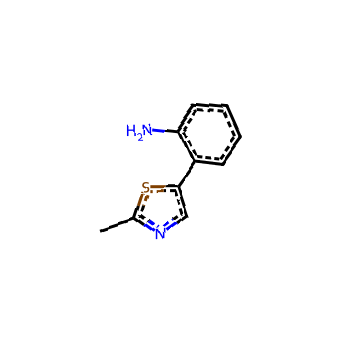 Cc1ncc(-c2ccccc2N)s1